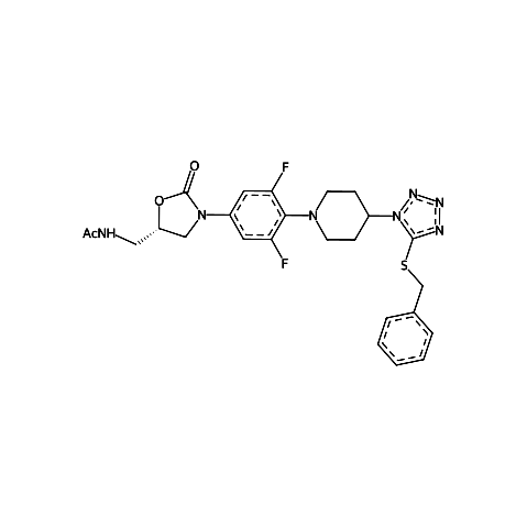 CC(=O)NC[C@H]1CN(c2cc(F)c(N3CCC(n4nnnc4SCc4ccccc4)CC3)c(F)c2)C(=O)O1